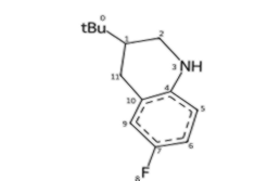 CC(C)(C)C1CNc2ccc(F)cc2C1